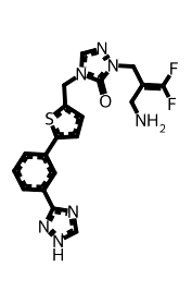 NCC(Cn1ncn(Cc2ccc(-c3cccc(-c4nc[nH]n4)c3)s2)c1=O)=C(F)F